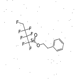 [O]=[Sn]([O]CCc1ccccc1)[C](F)(F)C(F)(F)C(F)(F)CF